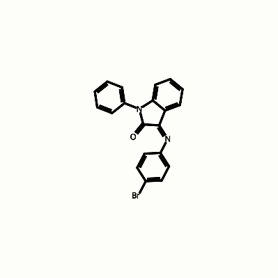 O=C1/C(=N\c2ccc(Br)cc2)c2ccccc2N1c1ccccc1